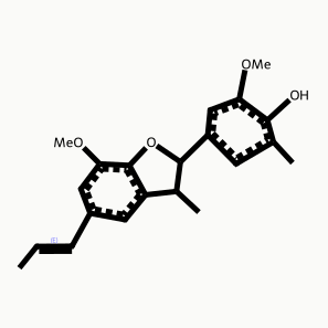 C/C=C/c1cc(OC)c2c(c1)C(C)C(c1cc(C)c(O)c(OC)c1)O2